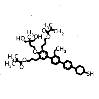 C=C(C)C(=O)OCCCc1cc(-c2ccc(-c3ccc(C4CCC(S)CC4)cc3)cc2CC)cc(CCCOC(=O)C(=C)C)c1OCCC(C)(CO)CO